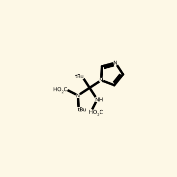 CC(C)(C)N(C(=O)O)C(NC(=O)O)(n1ccnc1)C(C)(C)C